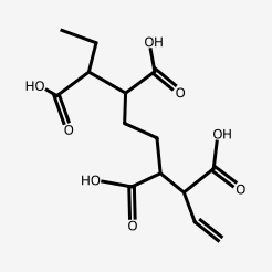 C=CC(C(=O)O)C(CCC(C(=O)O)C(CC)C(=O)O)C(=O)O